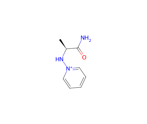 C[C@H](N[n+]1ccccc1)C(N)=O